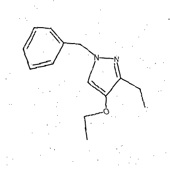 [CH2]Cc1nn(Cc2ccccc2)cc1OCC